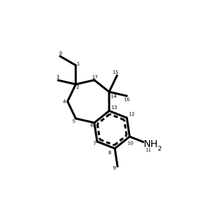 CCC1(C)CCc2cc(C)c(N)cc2C(C)(C)C1